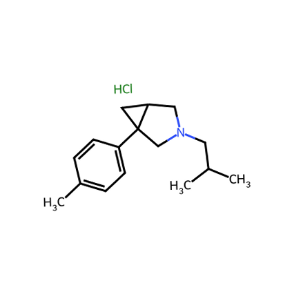 Cc1ccc(C23CC2CN(CC(C)C)C3)cc1.Cl